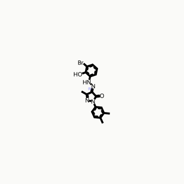 CC1=NN(c2ccc(C)c(C)c2)C(=O)/C1=N/Nc1cccc(Br)c1O